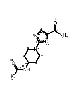 NC(=O)c1cnc(N2CCC(NC(=O)O)CC2)o1